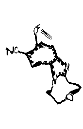 N#Cc1cc2c(cc1C(F)(F)F)nc1n2CCOC1